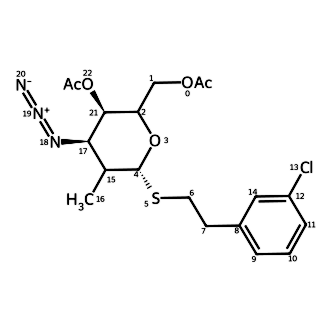 CC(=O)OCC1O[C@H](SCCc2cccc(Cl)c2)C(C)[C@@H](N=[N+]=[N-])[C@H]1OC(C)=O